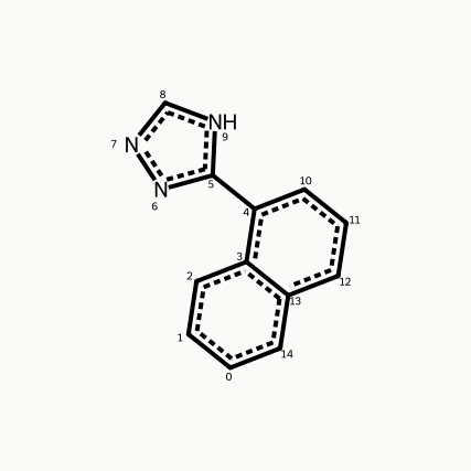 c1ccc2c(-c3nnc[nH]3)cccc2c1